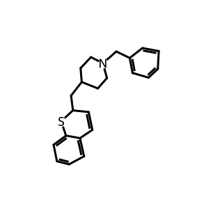 C1=CC(CC2CCN(Cc3ccccc3)CC2)Sc2ccccc21